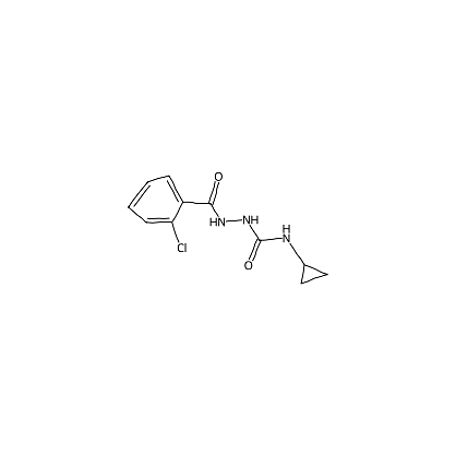 O=C(NNC(=O)c1ccccc1Cl)NC1CC1